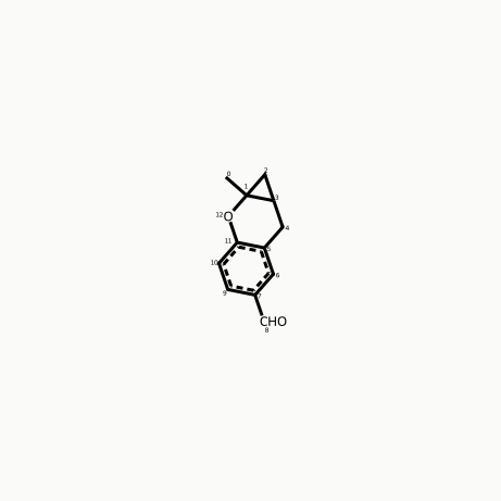 CC12CC1Cc1cc(C=O)ccc1O2